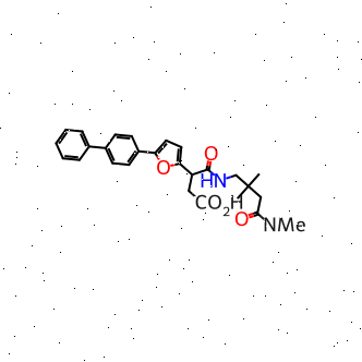 CNC(=O)CC(C)(C)CNC(=O)C(CC(=O)O)c1ccc(-c2ccc(-c3ccccc3)cc2)o1